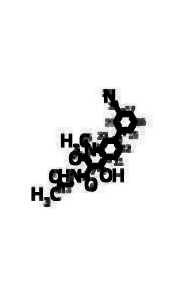 CC(=O)CNC(=O)c1c(O)c2ccc(-c3cccc(C#N)c3)cc2n(C)c1=O